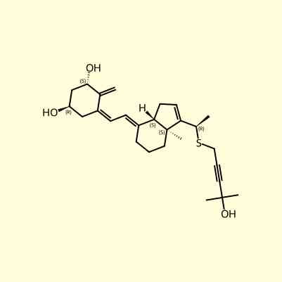 C=C1C(=CC=C2CCC[C@]3(C)C([C@@H](C)SCC#CC(C)(C)O)=CC[C@@H]23)C[C@@H](O)C[C@@H]1O